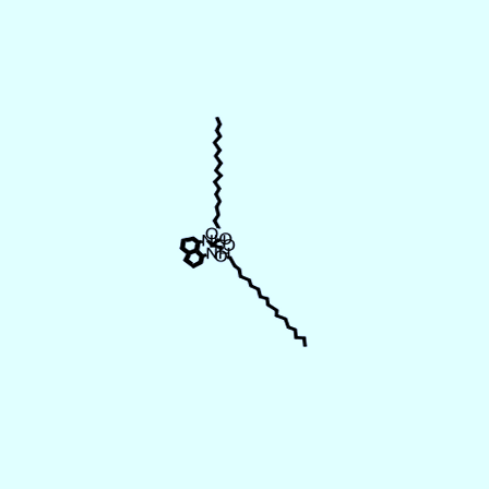 CCCCCCCCCCCCCCCCCCOC(=O)C1(C(=O)OCCCCCCCCCCCCCCCCCC)Nc2cccc3cccc(c23)N1